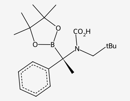 CC(C)(C)CN(C(=O)O)[C@@](C)(B1OC(C)(C)C(C)(C)O1)c1ccccc1